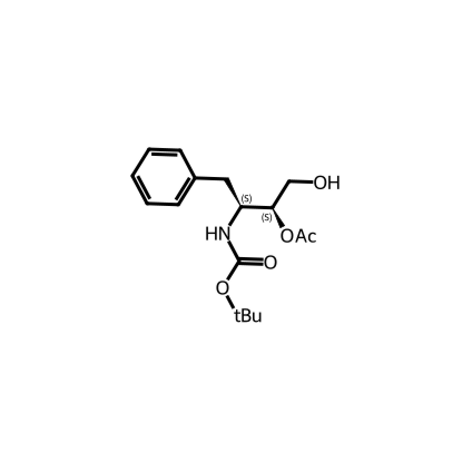 CC(=O)O[C@H](CO)[C@H](Cc1ccccc1)NC(=O)OC(C)(C)C